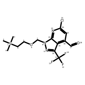 C[Si](C)(C)CCOCn1nc(C(F)(F)F)c2c(C=O)cc(Cl)nc21